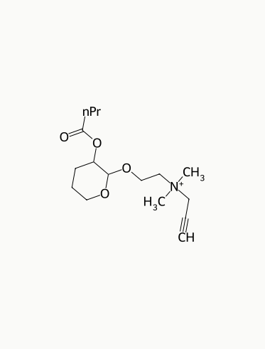 C#CC[N+](C)(C)CCOC1OCCCC1OC(=O)CCC